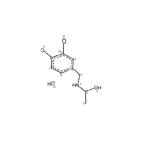 CC(O)NCc1ccc(Cl)c(Cl)c1.Cl